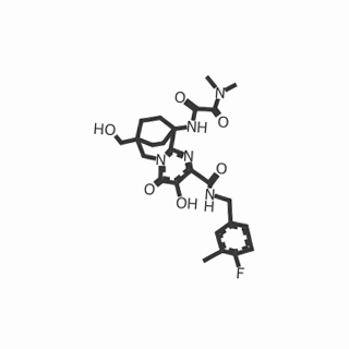 Cc1cc(CNC(=O)c2nc3n(c(=O)c2O)CC2(CO)CCC3(NC(=O)C(=O)N(C)C)CC2)ccc1F